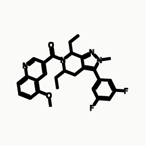 CCC1Cc2c(nn(C)c2-c2cc(F)cc(F)c2)C(CC)N1C(=O)c1cnc2cccc(OC)c2c1